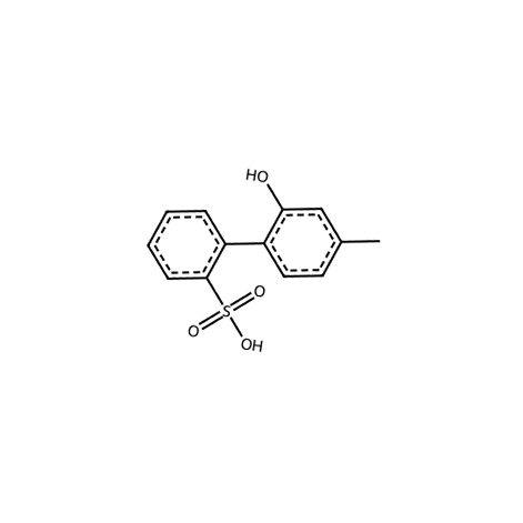 Cc1ccc(-c2ccccc2S(=O)(=O)O)c(O)c1